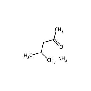 CC(=O)CC(C)C.N